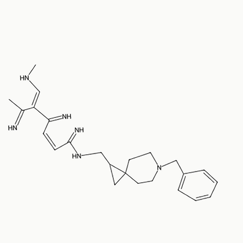 CN/C=C(\C(C)=N)C(=N)/C=C\C(=N)NCC1CC12CCN(Cc1ccccc1)CC2